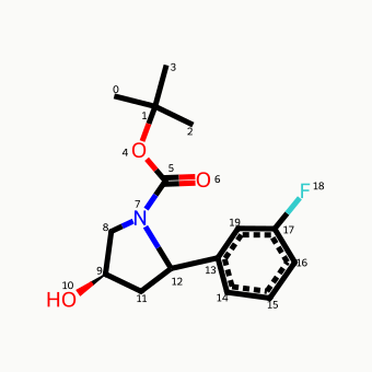 CC(C)(C)OC(=O)N1C[C@H](O)CC1c1cccc(F)c1